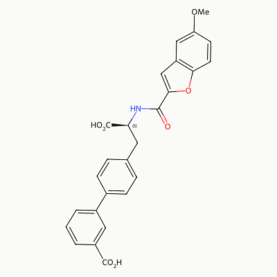 COc1ccc2oc(C(=O)N[C@@H](Cc3ccc(-c4cccc(C(=O)O)c4)cc3)C(=O)O)cc2c1